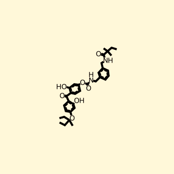 CCC(C)(CC)Oc1ccc(C(=O)c2ccc(OC(=O)NCc3cccc(CNC(=O)C(C)(C)CC)c3)cc2O)c(O)c1